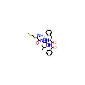 CSCC[C@H](N)C(=O)N[C@@H](CC(C)C)C(=O)N[C@@H](Cc1ccccc1)C(=O)NC(=O)c1ccccc1